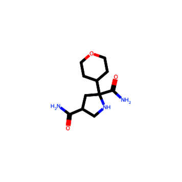 NC(=O)C1CNC(C(N)=O)(C2CCOCC2)C1